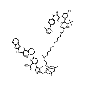 Cc1ncsc1-c1ccc([C@H](C)NC(=O)[C@@H]2C[C@@H](O)CN2C(=O)[C@@H](NC(=O)COCCCCCCCCCN(C)CCOC23CC4(C)CC(C)(CC(Cn5ncc(-c6ccc(N7CCCc8c7nnc(Nc7nc9ccccc9s7)c8C)nc6C(=O)O)c5C)(C4)C2)C3)C(C)(C)C)cc1